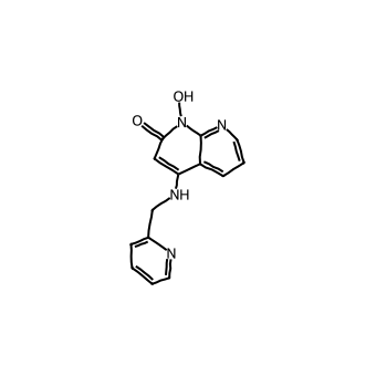 O=c1cc(NCc2ccccn2)c2cccnc2n1O